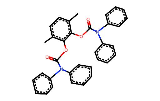 Cc1ccc(C)c(OC(=O)N(c2ccccc2)c2ccccc2)c1OC(=O)N(c1ccccc1)c1ccccc1